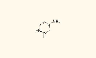 NC1=[C]NNC=C1